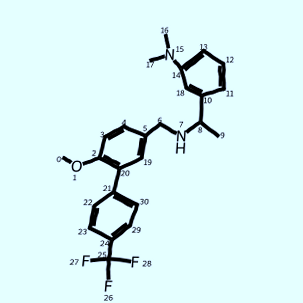 COc1ccc(CNC(C)c2cccc(N(C)C)c2)cc1-c1ccc(C(F)(F)F)cc1